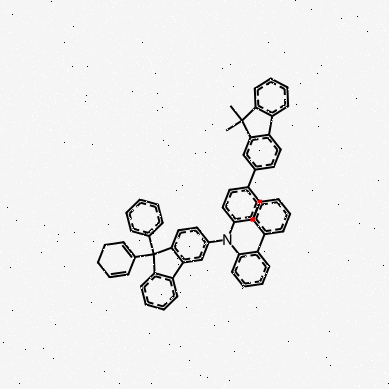 CC1(C)c2ccccc2-c2ccc(-c3ccc(N(c4ccc5c(c4)-c4ccccc4C5(C4=CCCC=C4)c4ccccc4)c4ccccc4-c4ccccc4)cc3)cc21